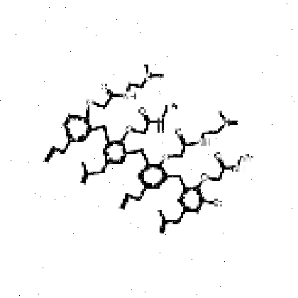 C=CCc1ccc(OCC(=O)NCCN(C)C)c(Cc2cc(CC(=C)C)cc(Cc3cc(CC=C)cc(Cc4cc(CC(=C)C)cc(CC)c4OCC(=O)NCCC)c3OCC(=O)NCCN(C)C)c2OCC(=O)NCCC)c1